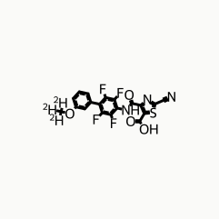 [2H]C([2H])([2H])Oc1cccc(-c2c(F)c(F)c(NC(=O)c3nc(C#N)sc3C(=O)O)c(F)c2F)c1